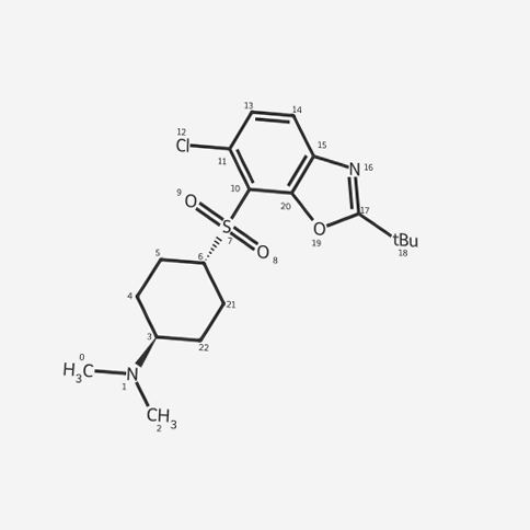 CN(C)[C@H]1CC[C@H](S(=O)(=O)c2c(Cl)ccc3nc(C(C)(C)C)oc23)CC1